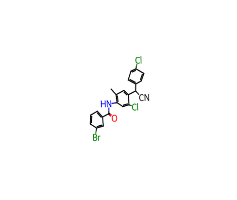 Cc1cc(C(C#N)c2ccc(Cl)cc2)c(Cl)cc1NC(=O)c1cccc(Br)c1